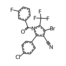 N#Cc1c(Br)c(C(F)(F)F)n(C(=O)c2cccc(F)c2)c1-c1ccc(Cl)cc1